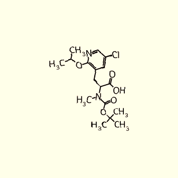 CC(C)Oc1ncc(Cl)cc1C[C@@H](C(=O)O)N(C)C(=O)OC(C)(C)C